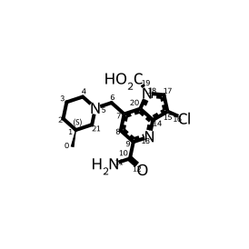 C[C@H]1CCCN(Cc2cc(C(N)=O)nc3c(Cl)cn(C(=O)O)c23)C1